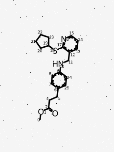 COC(=O)CCc1ccc(NCc2cccnc2SC2CCCC2)cc1